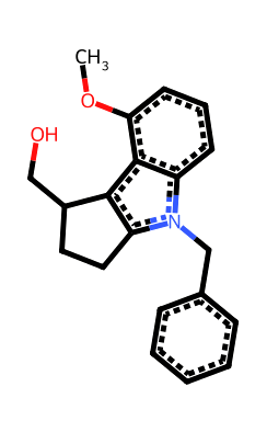 COc1cccc2c1c1c(n2Cc2ccccc2)CCC1CO